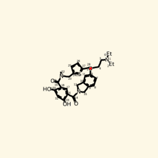 CCN(CC)CCOc1ccc2c(c1)CN(C(=O)c1cc(C(=O)N(C)Cc3ccc(C)s3)c(O)cc1O)C2